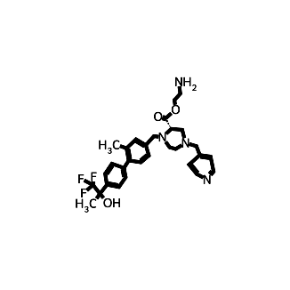 Cc1cc(CN2CCN(Cc3ccncc3)C[C@H]2C(=O)OCCN)ccc1-c1ccc(C(C)(O)C(F)(F)F)cc1